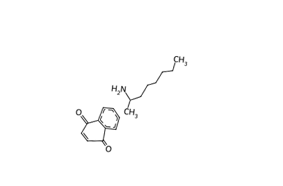 CCCCCCC(C)N.O=C1C=CC(=O)c2ccccc21